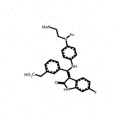 CNCCN(C(C)=O)c1ccc(NC(=C2C(=O)Nc3cc(F)ccc32)c2cccc(CC(=O)O)c2)cc1